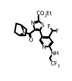 CCOC(=O)c1nc(C(=O)N2C3CCC2CC3)c(-c2cnc(NCC(F)(F)F)cc2C(F)F)s1